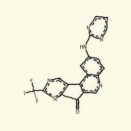 O=C1c2cnc3ccc(Nc4ncccn4)cc3c2-c2cnc(C(F)(F)F)nc21